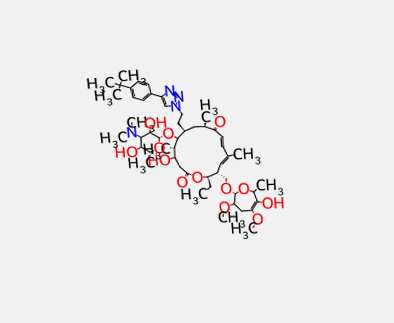 CC[C@H]1OC(=O)C[C@@H](O)[C@H](C)[C@@H](O[C@@H]2O[C@H](C)[C@@H](O)C(N(C)C)C2O)[C@@H](CCn2cc(-c3ccc(C(C)(C)C)cc3)nn2)C[C@@H](C)C(=O)/C=C/C(C)=C/[C@@H]1CO[C@@H]1OC(C)C(O)=C(OC)CC1OC